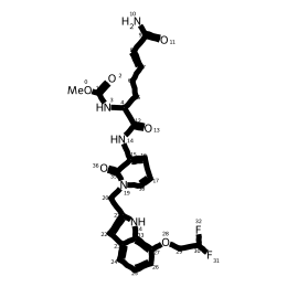 COC(=O)NC(CCC=CC(N)=O)C(=O)Nc1cccn(Cc2cc3cccc(OCC(F)F)c3[nH]2)c1=O